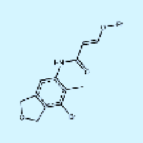 CCO/C=C/C(=O)Nc1cc2c(c(Br)c1F)COC2